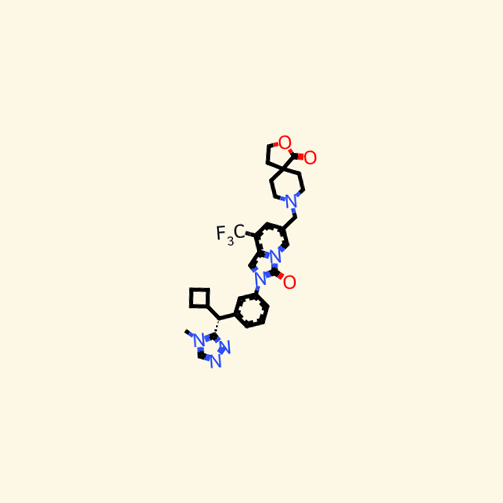 Cn1cnnc1[C@@H](c1cccc(-n2cc3c(C(F)(F)F)cc(CN4CCC5(CCOC5=O)CC4)cn3c2=O)c1)C1CCC1